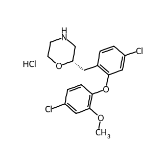 COc1cc(Cl)ccc1Oc1cc(Cl)ccc1C[C@H]1CNCCO1.Cl